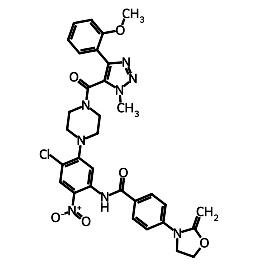 C=C1OCCN1c1ccc(C(=O)Nc2cc(N3CCN(C(=O)c4c(-c5ccccc5OC)nnn4C)CC3)c(Cl)cc2[N+](=O)[O-])cc1